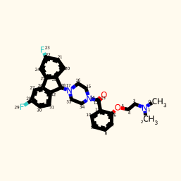 CN(C)CCOc1ccccc1C(=O)N1CCN(C2c3ccc(F)cc3-c3cc(F)ccc32)CC1